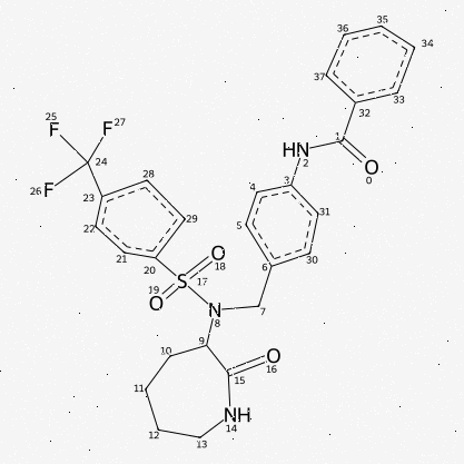 O=C(Nc1ccc(CN(C2CCCCNC2=O)S(=O)(=O)c2ccc(C(F)(F)F)cc2)cc1)c1ccccc1